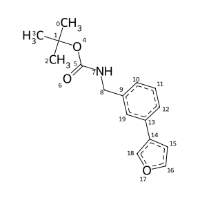 CC(C)(C)OC(=O)NCc1cccc(-c2ccoc2)c1